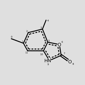 Cc1cc(C)c2oc(=O)[nH]c2c1